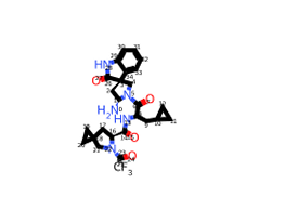 N[C@@H]1C[C@@]2(CN1C(=O)C(CC1CC1)NC(=O)[C@@H]1CC3(CC3)CN1C(=O)C(F)(F)F)C(=O)Nc1ccccc12